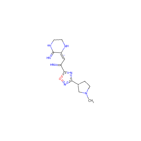 CN1CCC(c2noc(C(=N)/C=C3/NCCNC3=N)n2)C1